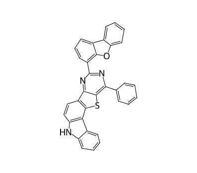 c1ccc(-c2nc(-c3cccc4c3oc3ccccc34)nc3c2sc2c3ccc3[nH]c4ccccc4c32)cc1